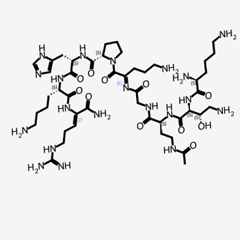 CC(=O)NCC[C@H](NC(=O)[C@@H](NC(=O)[C@@H](N)CCCCN)[C@@H](O)CN)C(=O)NCC(=O)/N=C(\CCCN)C(=O)N1CCC[C@H]1C(=O)N[C@@H](Cc1cnc[nH]1)C(=O)N[C@@H](CCCCN)C(=O)N/C(=C\CCNC(=N)N)C(N)=O